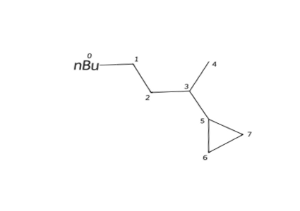 [CH2]CCCCCC(C)C1CC1